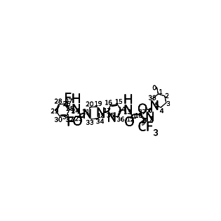 CC1CCCN(c2nc(C(F)(F)F)c(C(=O)Nc3ccc(N4CCN(C(=O)Nc5c(F)cccc5F)CC4)nc3)o2)C1